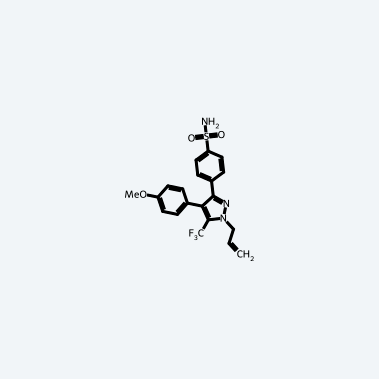 C=CCn1nc(-c2ccc(S(N)(=O)=O)cc2)c(-c2ccc(OC)cc2)c1C(F)(F)F